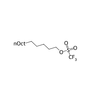 CCCCCCCCCCCCCOS(=O)(=O)C(F)(F)F